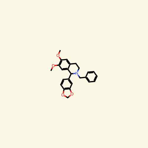 COc1cc2c(cc1OC)C(c1ccc3c(c1)OCO3)N(Cc1ccccc1)CC2